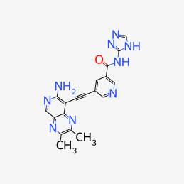 Cc1nc2cnc(N)c(C#Cc3cncc(C(=O)Nc4nnc[nH]4)c3)c2nc1C